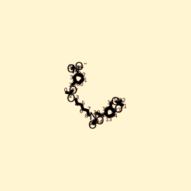 CC(OCCCCCCN1C[C@@H](c2ccc3c(c2)COC(C)(C)O3)OC1=O)OCc1cccc([N+](=O)[O-])c1